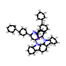 c1ccc(-c2ccc(-c3cc(-n4c5ccccc5c5ccc6c7ccccc7n(-c7ccccc7)c6c54)nc(-c4cccc(-c5ccccc5)c4)n3)cc2)cc1